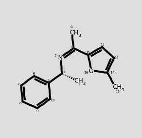 C/C(=N/[C@H](C)c1ccccc1)c1ccc(C)o1